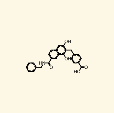 O=C(O)c1ccc(Cc2c(O)cc3ccc(C(=O)NCc4ccccc4)cc3c2O)cc1